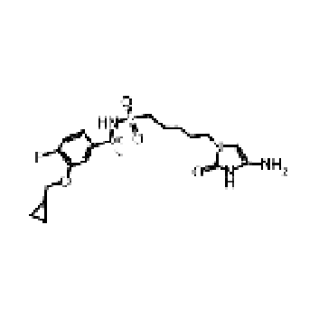 C[C@@H](NS(=O)(=O)CCCCCn1cc(N)[nH]c1=O)c1ccc(F)c(OCC2CC2)c1